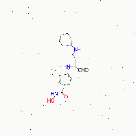 O=CC(CCNC1CCCCC1)Nc1ccc(C(=O)NO)cc1